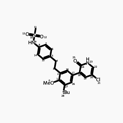 COc1c(CCc2ccc(NS(C)(=O)=O)cc2)cc(-c2cc(Cl)c[nH]c2=O)cc1C(C)(C)C